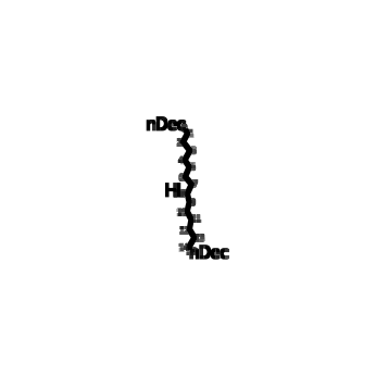 CCCCCCCCCCCCCCCCCCCCCCCCCCCCCCCCCC.I